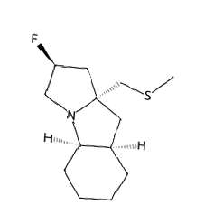 CSC[C@@]12C[C@H](F)CN1[C@@H]1CCCC[C@@H]1C2